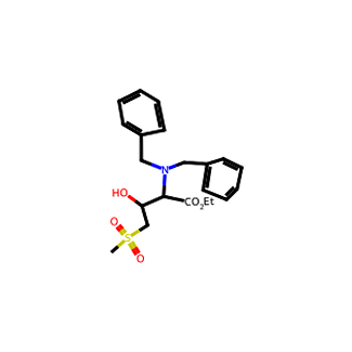 CCOC(=O)C(C(O)CS(C)(=O)=O)N(Cc1ccccc1)Cc1ccccc1